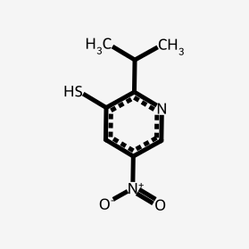 CC(C)c1ncc([N+](=O)[O-])cc1S